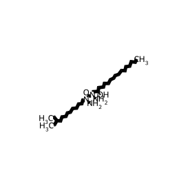 CCCCCCCCCCCCCCC[C@@H](O)CN(N)C(=O)N(N)CCCCCCCCCCC(CC)CC